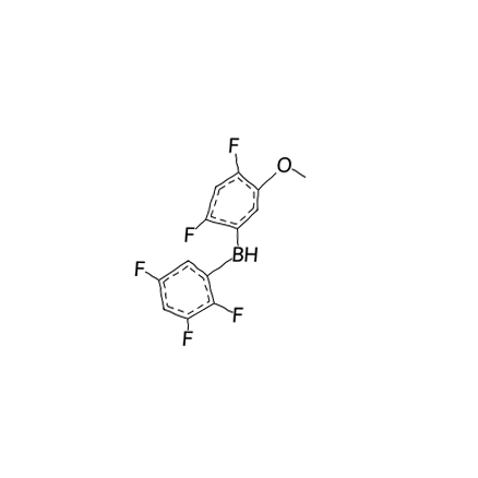 COc1cc(Bc2cc(F)cc(F)c2F)c(F)cc1F